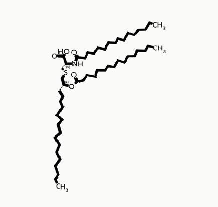 CCCCCCCCCCCCCCCC[C@H](CSC[C@@H](NC(=O)CCCCCCCCCCCCCCC)C(=O)O)OC(=O)CCCCCCCCCCCCCCC